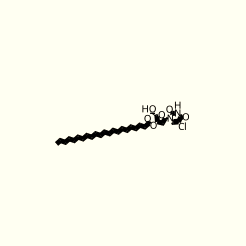 CCCCCCCCCCCCCCCCCCCCCC(=O)OC1C[C@@H](n2cc(Cl)c(=O)[nH]c2=O)O[C@H]1CO